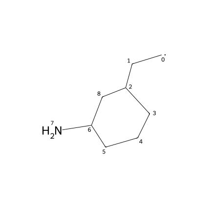 [CH2]CC1CCCC(N)C1